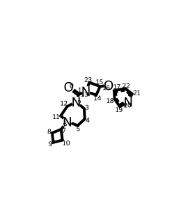 O=C(N1CCCN(C2CCC2)CC1)N1CC(Oc2ccncc2)C1